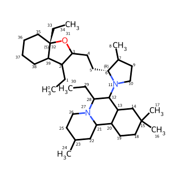 CCC1C(CC[C@@H]2C(C)CCN2C2C3CC(C)(C)CCC3C3CC(C)CCN3C2CC)O[C@@]2(CC)CCCCC12